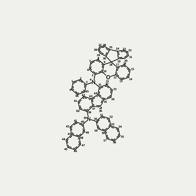 c1ccc(N(c2cccc3c2Oc2ccccc2C32c3ccccc3-c3ccccc32)c2cccc3sc4c(N(c5ccc6ccccc6c5)c5ccc6ccccc6c5)cccc4c23)cc1